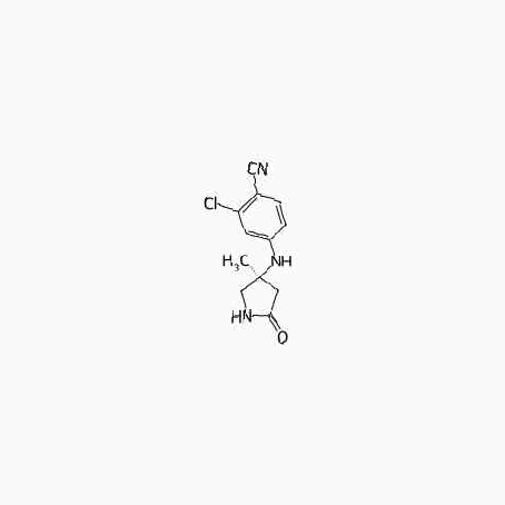 C[C@@]1(Nc2ccc(C#N)c(Cl)c2)CNC(=O)C1